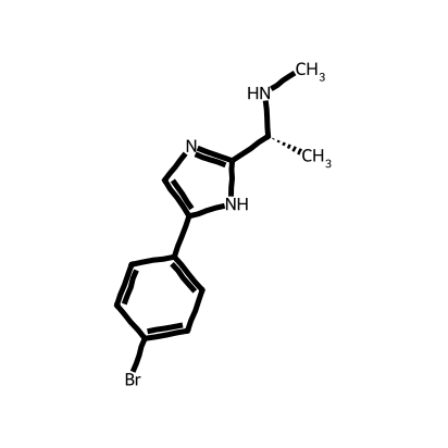 CN[C@H](C)c1ncc(-c2ccc(Br)cc2)[nH]1